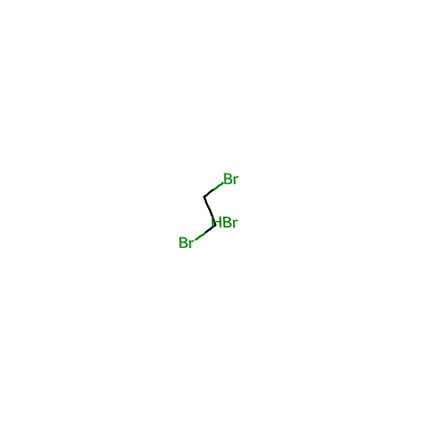 Br.BrCCBr